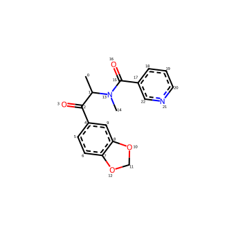 CC(C(=O)c1ccc2c(c1)OCO2)N(C)C(=O)c1cccnc1